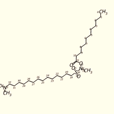 CCCCCCCCCCCC(=O)ON(C)S(=O)(=O)CCCCCCCCCCCCCCN(C)C